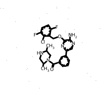 CC1CN(C(=O)c2cccc(-c3cnc(N)c(OCc4c(F)ccc(F)c4Cl)n3)c2)C(C)CN1